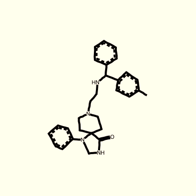 Cc1ccc(C(NCCN2CCC3(CC2)C(=O)NCN3c2ccccc2)c2ccccc2)cc1